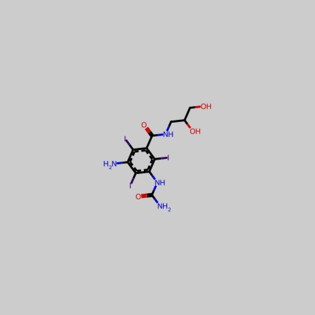 NC(=O)Nc1c(I)c(N)c(I)c(C(=O)NCC(O)CO)c1I